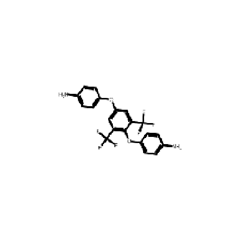 Nc1ccc(Oc2cc(C(F)(F)F)c(Oc3ccc(N)cc3)c(C(F)(F)F)c2)cc1